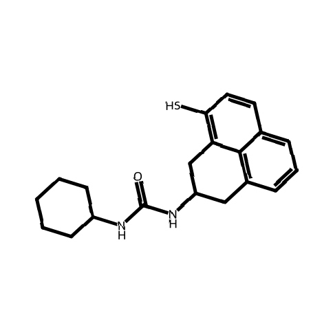 O=C(NC1CCCCC1)NC1Cc2cccc3ccc(S)c(c23)C1